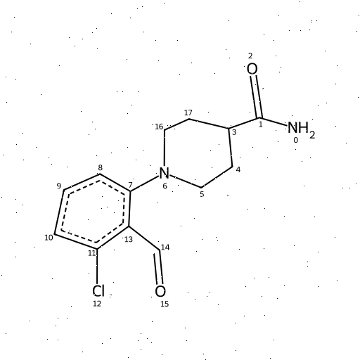 NC(=O)C1CCN(c2cccc(Cl)c2C=O)CC1